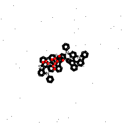 c1ccc(N(c2ccc3c(c2)C2(c4ccccc4-c4ccccc42)c2cccc4c5ccccc5n-3c24)c2ccc3c(c2)sc2cc(-c4ccc5sc6cccc(N(c7ccccc7)c7ccc8c(c7)-n7c9ccccc9c9cccc(c97)C87c8ccccc8-c8ccccc87)c6c5c4)ccc23)cc1